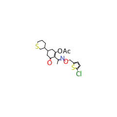 CC(=O)OC1=C(C(C)=NOCc2ccc(Cl)s2)C(=O)CC(C2CCCSC2)C1